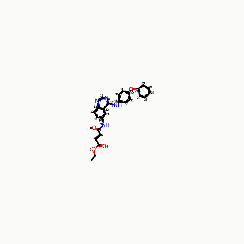 CCOC(=O)/C=C/C(=O)Nc1ccc2ncnc(Nc3ccc(Oc4ccccc4)cc3)c2c1